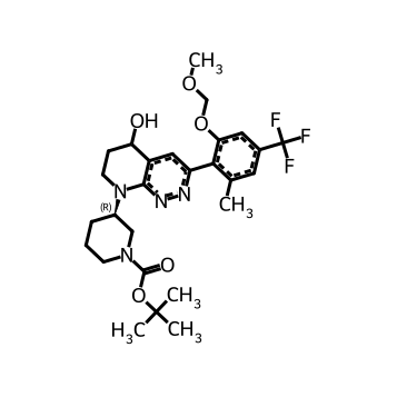 COCOc1cc(C(F)(F)F)cc(C)c1-c1cc2c(nn1)N([C@@H]1CCCN(C(=O)OC(C)(C)C)C1)CCC2O